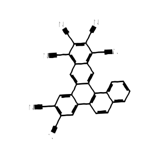 N#Cc1cc2c(cc1C#N)c1ccc3ccccc3c1c1cc3c(C#N)c(C#N)c(C#N)c(C#N)c3cc21